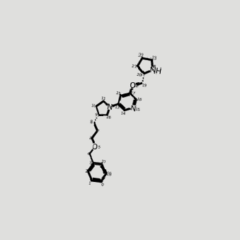 c1ccc(COCCC[C@@H]2CCN(c3cncc(OC[C@@H]4CCCN4)c3)C2)cc1